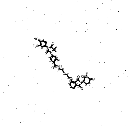 CC1(C)C(=O)N(c2ccc(C#N)c(C(F)(F)F)c2)C(=S)N1c1ccc(C(=O)NCCOCCOc2cccc3c2C(=O)N(C2CCC(=O)NC2=O)C3=O)c(F)c1